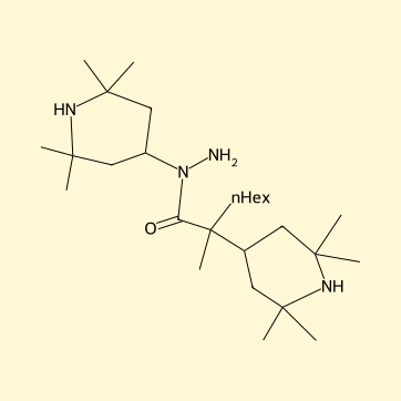 CCCCCCC(C)(C(=O)N(N)C1CC(C)(C)NC(C)(C)C1)C1CC(C)(C)NC(C)(C)C1